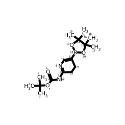 CC(C)(C)OC(=O)NC1=NC=C(B2OC(C)(C)C(C)(C)O2)CC1